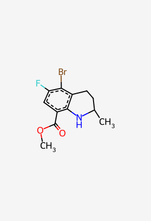 COC(=O)c1cc(F)c(Br)c2c1NC(C)CC2